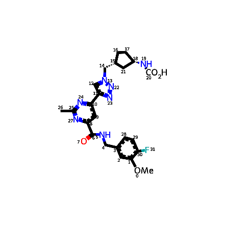 COc1cc(CNC(=O)c2cc(-c3cn(C[C@@H]4CC[C@H](NC(=O)O)C4)nn3)nc(C)n2)ccc1F